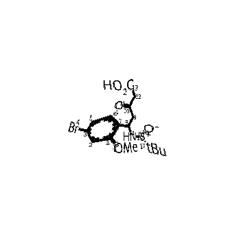 COc1cc(Br)ccc1C(CC(=O)CC(=O)O)N[S@+]([O-])C(C)(C)C